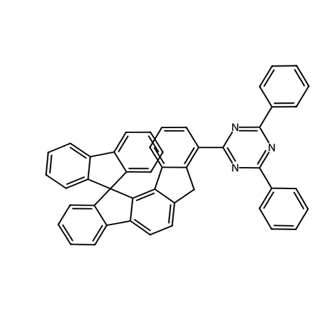 c1ccc(-c2nc(-c3ccccc3)nc(-c3cccc4c3Cc3ccc5c(c3-4)C3(c4ccccc4-c4ccccc43)c3ccccc3-5)n2)cc1